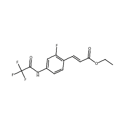 CCOC(=O)/C=C/c1ccc(NC(=O)C(F)(F)F)cc1F